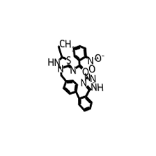 CCC1NN(Cc2ccc(-c3ccccc3-c3nnn[nH]3)cc2)C(=NC(=O)c2ccccc2[N+](=O)[O-])S1